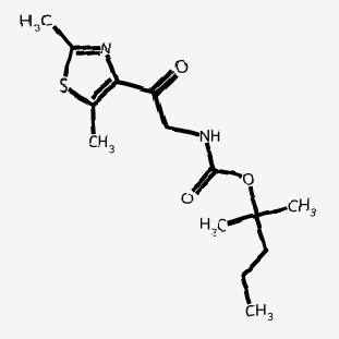 CCCC(C)(C)OC(=O)NCC(=O)c1nc(C)sc1C